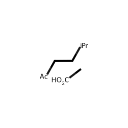 CC(=O)CCC(C)C.CC(=O)O